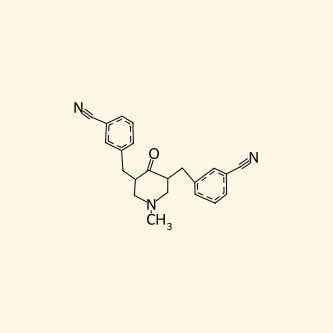 CN1CC(Cc2cccc(C#N)c2)C(=O)C(Cc2cccc(C#N)c2)C1